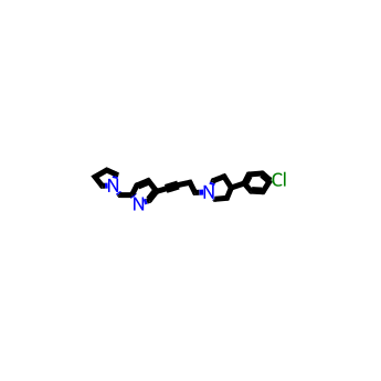 Clc1ccc(C2CCN(CCC#Cc3ccc(CN4CCCC4)nc3)CC2)cc1